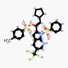 Cc1ccc(S(=O)(=O)O/C(=C\C2CCCC2)c2cc3cc(C(F)(F)F)cnc3n2S(=O)(=O)c2ccccc2)cc1